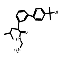 CC(C)CC(C(=O)NCN)c1cccc(-c2ccc(C(C)(C)O)cc2)c1